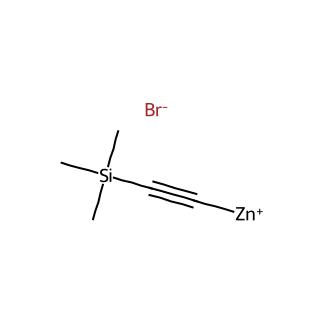 C[Si](C)(C)C#[C][Zn+].[Br-]